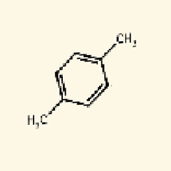 Cc1[c]cc(C)cc1